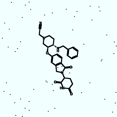 N#CCN1CC[C@H](NCc2ccccc2)[C@@H](Oc2ccc3c(c2)CN(C2CCC(=O)NC2=O)C3=O)C1